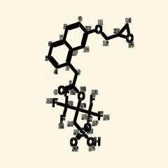 O=C(Cc1cccc2ccc(OCC3CO3)cc12)OC(CS(=O)(=O)O)(C(F)(F)F)C(F)(F)F